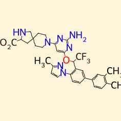 Cc1ccn(-c2ccc(-c3ccc(C)c(C)c3)cc2C(Oc2cc(N3CCC4(CC3)CNC(C(=O)O)C4)nc(N)n2)C(F)(F)F)n1